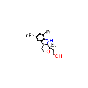 CCCc1cc(C(C)C)c2[nH]c3c(c2c1)CCOC3(CC)CCO